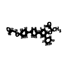 CC(Oc1ccc(C2=CC=C(c3ccc(OCC4CO4)cc3)CC2)cc1C1CCCCC1)C1CO1